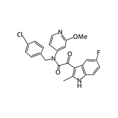 COc1cc(N(Cc2ccc(Cl)cc2)C(=O)C(=O)c2c(C)[nH]c3ccc(F)cc23)ccn1